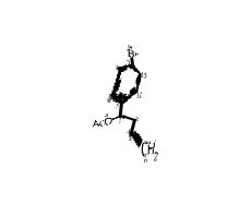 C=CC[C@@H](OC(C)=O)c1ccc(Br)cc1